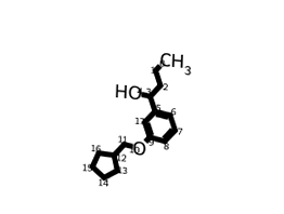 CCCC(O)c1cccc(OCC2CCCC2)c1